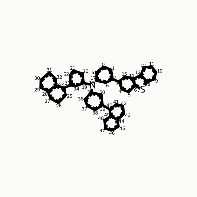 c1cc(-c2ccc3sc4ccccc4c3c2)cc(N(c2cccc(-c3cccc4ccccc34)c2)c2cccc(-c3cccc4ccccc34)c2)c1